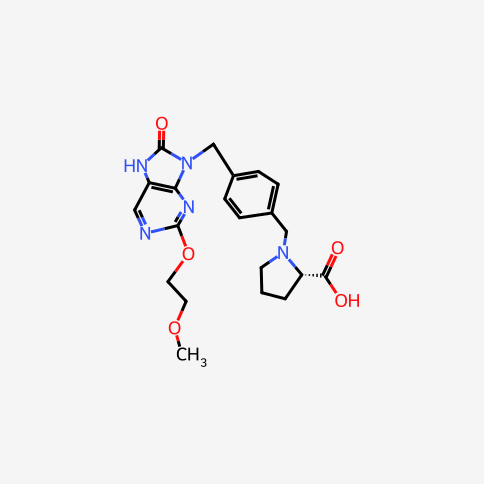 COCCOc1ncc2[nH]c(=O)n(Cc3ccc(CN4CCC[C@H]4C(=O)O)cc3)c2n1